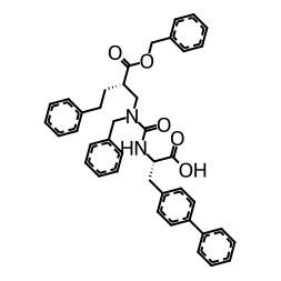 O=C(OCc1ccccc1)[C@@H](CCc1ccccc1)CN(Cc1ccccc1)C(=O)N[C@@H](Cc1ccc(-c2ccccc2)cc1)C(=O)O